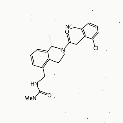 CNC(=O)NCc1cccc2c1CCN(C(=O)Cc1c(Cl)cccc1C#N)[C@H]2C